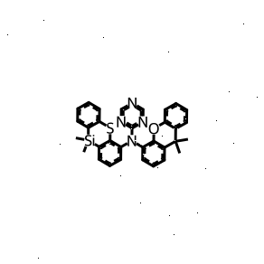 CC1(C)c2ccccc2Oc2c(N(c3ncncn3)c3cccc4c3Sc3ccccc3[Si]4(C)C)cccc21